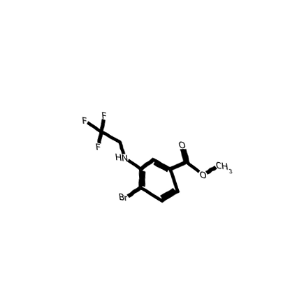 COC(=O)c1ccc(Br)c(NCC(F)(F)F)c1